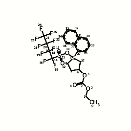 CCOC(=O)OC1CCS(OS(=O)(=O)C(F)(F)C(F)(F)C(F)(F)C(F)(F)F)(c2cccc3ccccc23)C1